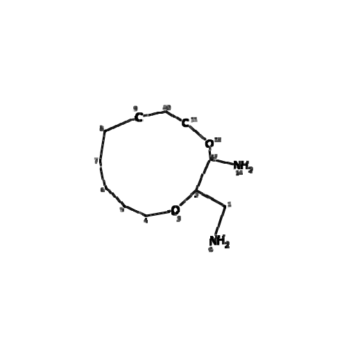 NCC1OCCCCCCCCOC1N